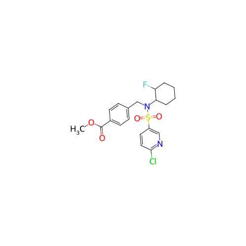 COC(=O)c1ccc(CN(C2CCCCC2F)S(=O)(=O)c2ccc(Cl)nc2)cc1